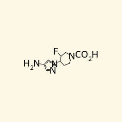 Nc1cnn(C2CCN(C(=O)O)CC2F)c1